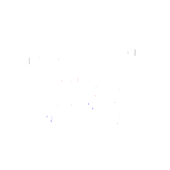 C=CCOC(=O)ON=C(C#N)C(=O)OCC